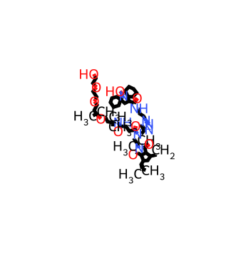 C=CC1CC(C=C(C)C)C2C(=O)N(C(C)(C)CN(Cc3cn(CCCNC(=O)C4CC5(CCCCC5)N(O)C45CCCCC5)nn3)C(=O)CCC(=O)NC(C)(C)CCOC(C)(C)CCOCCOCCO)C(=O)C12